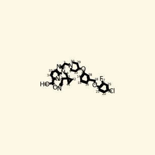 N#CCC1(Cn2c(CN3CCC(Oc4cccc(COc5ccc(Cl)cc5F)c4)CC3)nc3ccc(C(=O)O)nc32)CC1